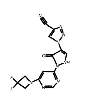 N#Cc1cn(-c2c[nH]n(-c3cc(N4CC(F)(F)C4)ncn3)c2=O)nn1